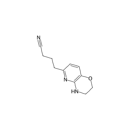 N#CCCCc1ccc2c(n1)NCCO2